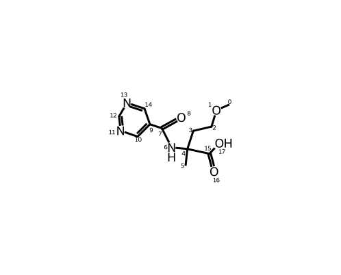 COCCC(C)(NC(=O)c1cncnc1)C(=O)O